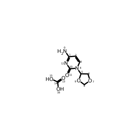 Nc1ccn(C2COCO2)c(=O)n1.O=C(O)O